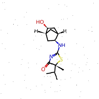 CC(C)[C@@]1(C)SC(N[C@H]2C[C@H]3C[C@@H]2C[C@@H]3O)=NC1=O